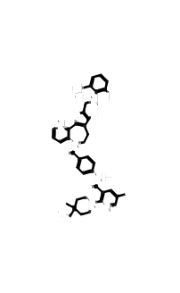 Cc1cnc(N2CCC3(CC2)COC3)c(C(=O)Nc2ccc(C(=O)N3CCc4cc(C(=O)Nc5c(F)cccc5Cl)sc4-c4ncccc43)cc2)c1